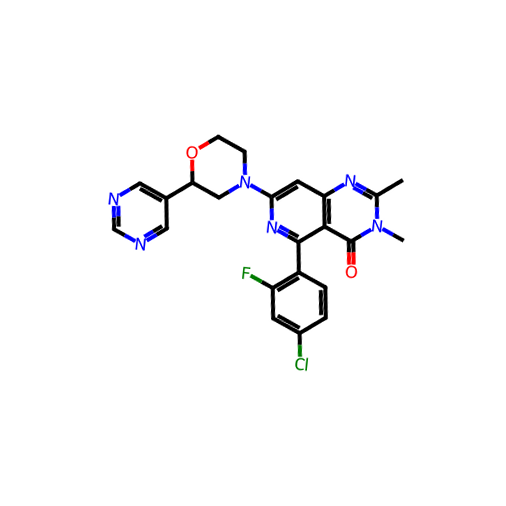 Cc1nc2cc(N3CCOC(c4cncnc4)C3)nc(-c3ccc(Cl)cc3F)c2c(=O)n1C